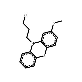 CSc1ccc2c(c1)N(CCCCl)c1ccccc1S2